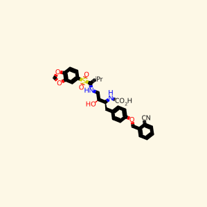 CC(C)C(NC[C@@H](O)[C@H](Cc1ccc(OCc2ccccc2C#N)cc1)NC(=O)O)S(=O)(=O)c1ccc2c(c1)OCO2